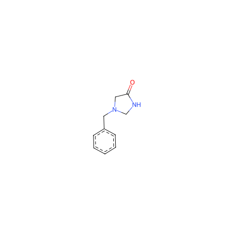 O=C1CN(Cc2ccccc2)CN1